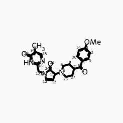 COc1ccc(C(=O)C2CCN(C3C=CN(Cc4ncc(C)c(=O)[nH]4)C3=O)CC2)cc1